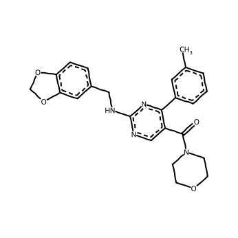 Cc1cccc(-c2nc(NCc3ccc4c(c3)OCO4)ncc2C(=O)N2CCOCC2)c1